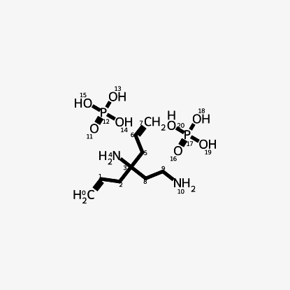 C=CCC(N)(CC=C)CCN.O=P(O)(O)O.O=P(O)(O)O